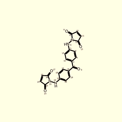 O=C(c1ccc(NN2C(=O)C=CC2=O)cc1)c1ccc(NN2C(=O)C=CC2=O)cc1